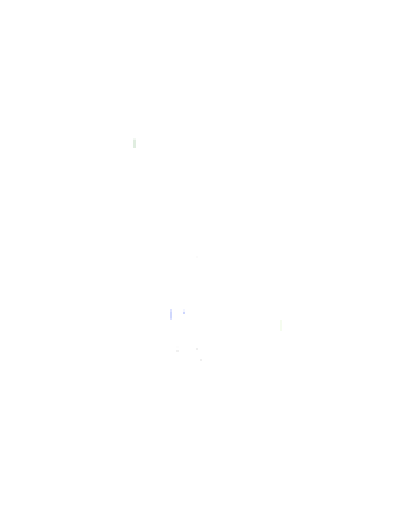 O=C(O)NC(I)(c1ccc(Cl)cc1)C(F)F